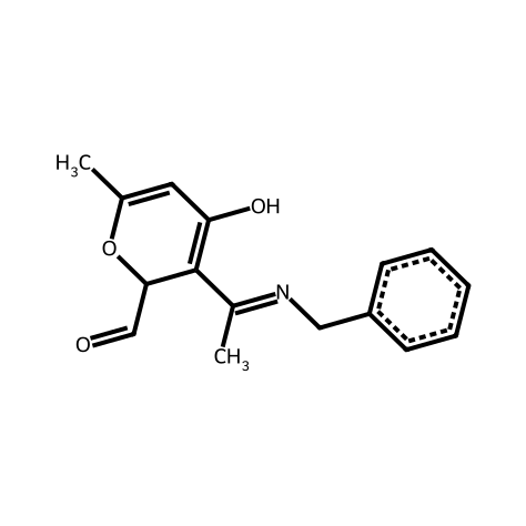 CC1=CC(O)=C(C(C)=NCc2ccccc2)C(C=O)O1